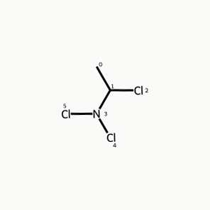 CC(Cl)N(Cl)Cl